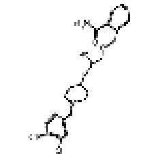 NC(=O)c1ccccc1COCC(O)CNC1CCN(Cc2ccc(Cl)c(Cl)c2)CC1